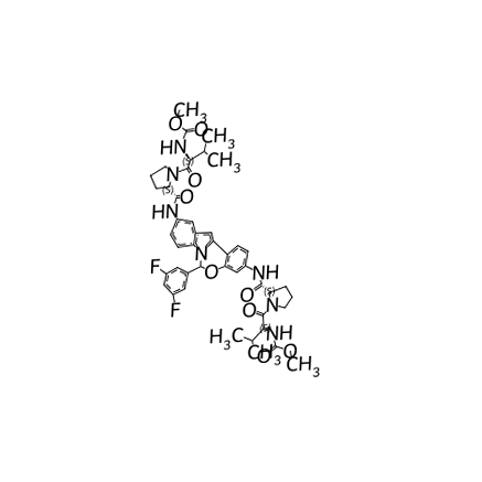 COC(=O)N[C@H](C(=O)N1CCC[C@H]1C(=O)Nc1ccc2c(c1)OC(c1cc(F)cc(F)c1)n1c-2cc2cc(NC(=O)[C@@H]3CCCN3C(=O)[C@@H](NC(=O)OC)C(C)C)ccc21)C(C)C